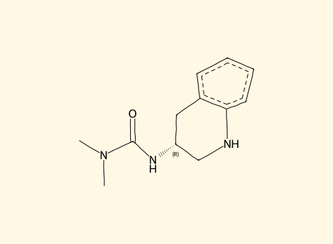 CN(C)C(=O)N[C@H]1CNc2ccccc2C1